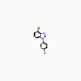 Brc1ccc(-n2cnc3c(Br)cccc32)cc1